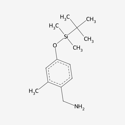 Cc1cc(O[Si](C)(C)C(C)(C)C)ccc1CN